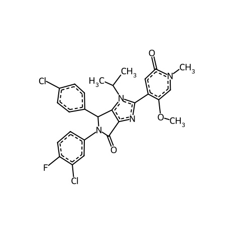 COc1cn(C)c(=O)cc1-c1nc2c(n1C(C)C)C(c1ccc(Cl)cc1)N(c1ccc(F)c(Cl)c1)C2=O